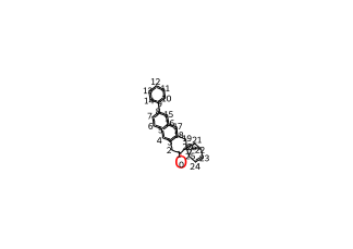 O=C1Cc2cc3ccc(-c4ccccc4)cc3cc2CC12CC1C=CC2C1